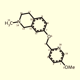 COc1ccc(COc2ccc3c(c2)CN(C)CC3)nc1